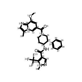 COc1cc(C(=O)N2CC[C@@H](NC(=O)c3cnn(C)c3C(F)(F)F)[C@@H](c3ccccc3)C2)cn2c(C)cnc12